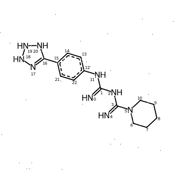 N=C(NC(=N)N1CCCCC1)Nc1ccc(C2=NNNN2)cc1